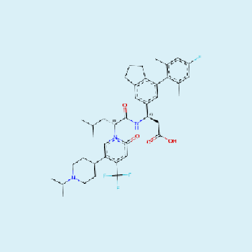 Cc1cc(F)cc(C)c1-c1cc([C@@H](CC(=O)O)NC(=O)[C@@H](CC(C)C)n2cc(C3CCN(C(C)C)CC3)c(C(F)(F)F)cc2=O)cc2c1CCC2